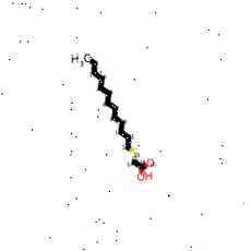 CCCCCCCCCCCCCSCC(=O)O